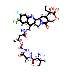 CC[C@@]1(O)C(=O)OCc2c1cc1n(c2=O)Cc2c-1nc1cc(F)c(Cl)cc1c2CNC(=O)C[C@H](C)OCNC(=O)[C@H](C)NC(=O)[C@@H](N)C(C)C